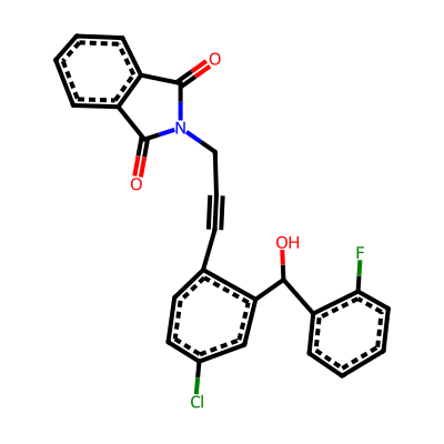 O=C1c2ccccc2C(=O)N1CC#Cc1ccc(Cl)cc1C(O)c1ccccc1F